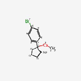 COC1(c2ccc(Br)cc2)CCCC1